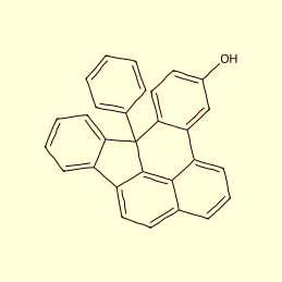 Oc1ccc2c(c1)-c1cccc3ccc4c(c13)C2(c1ccccc1)c1ccccc1-4